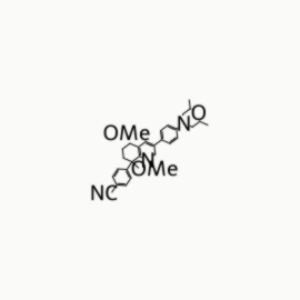 COc1c(-c2ccc(N3CC(C)OC(C)C3)cc2)cnc2c1CCCC2(OC)c1ccc(C#N)cc1